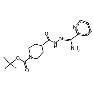 CC(C)(C)OC(=O)N1CCC(C(=O)NN=C(N)c2ccccn2)CC1